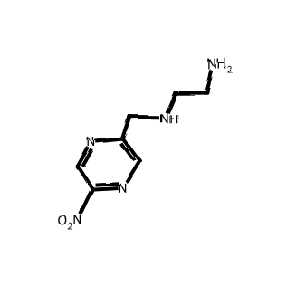 NCCNCc1cnc([N+](=O)[O-])cn1